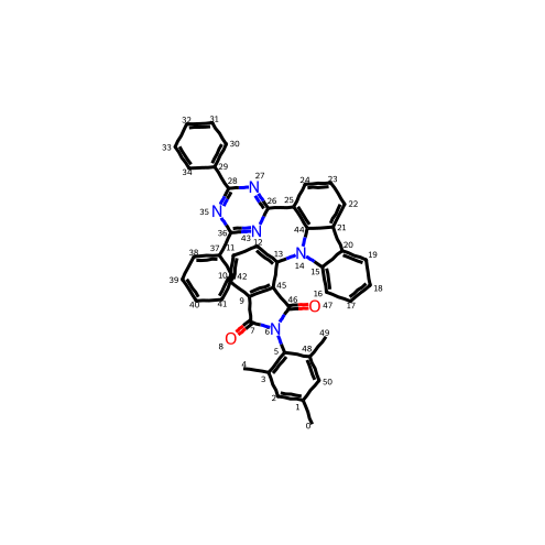 Cc1cc(C)c(N2C(=O)c3cccc(-n4c5ccccc5c5cccc(-c6nc(-c7ccccc7)nc(-c7ccccc7)n6)c54)c3C2=O)c(C)c1